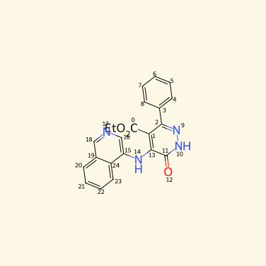 CCOC(=O)c1c(-c2ccccc2)n[nH]c(=O)c1Nc1cncc2ccccc12